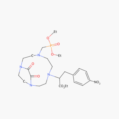 CCOC(=O)C(Cc1ccc([N+](=O)[O-])cc1)N1CCN(CP(=O)(OCC)OCC)CCN2CCN(CC1)C(=O)C2=O